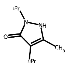 CCCc1c(C)[nH]n(C(C)C)c1=O